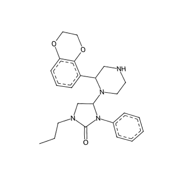 CCCN1CC(N2CCNCC2c2cccc3c2OCCO3)N(c2ccccc2)C1=O